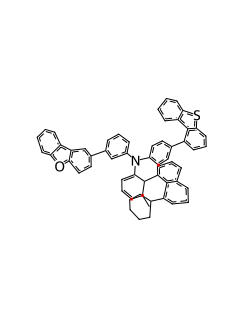 CC1C=CC=C(N(c2ccc(-c3cccc4sc5ccccc5c34)cc2)c2cccc(-c3ccc4oc5ccccc5c4c3)c2)C1c1cccc2cccc(C3CCCCC3)c12